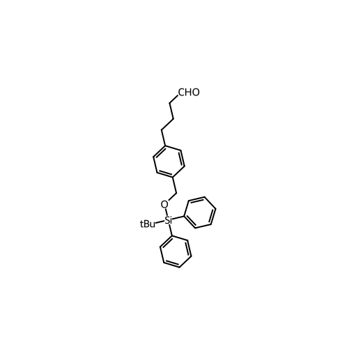 CC(C)(C)[Si](OCc1ccc(CCCC=O)cc1)(c1ccccc1)c1ccccc1